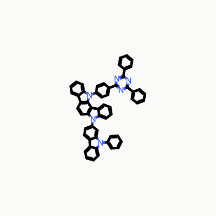 c1ccc(-c2nc(-c3ccccc3)nc(-c3ccc(-n4c5ccccc5c5ccc6c(c7ccccc7n6-c6ccc7c8ccccc8n(-c8ccccc8)c7c6)c54)cc3)n2)cc1